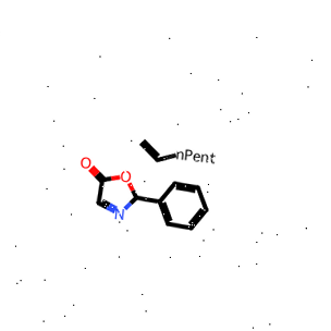 C=CCCCCC.O=C1C=NC(c2ccccc2)O1